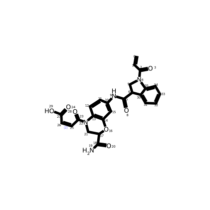 C=CC(=O)N1CC(C(=O)Nc2ccc3c(c2)OC(C(N)=O)CN3C(=O)/C=C\C(=O)O)c2ccccc21